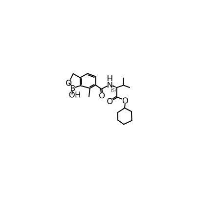 Cc1c(C(=O)N[C@H](C(=O)OC2CCCCC2)C(C)C)ccc2c1B(O)OC2